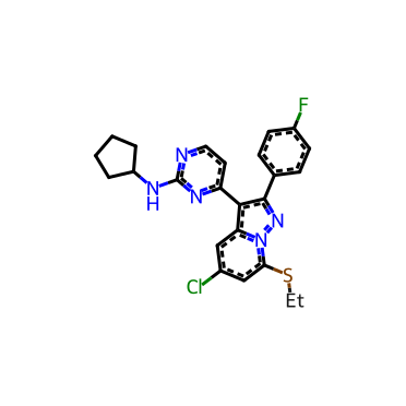 CCSc1cc(Cl)cc2c(-c3ccnc(NC4CCCC4)n3)c(-c3ccc(F)cc3)nn12